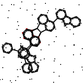 c1ccc(-c2nc(-c3ccccc3)nc(-c3ccc4c5c(cccc35)C35c6cccc7c(-c8cccc9c8sc8ccccc89)ccc(c67)C43c3ccc(-c4cccc6c4sc4ccccc46)c4cccc5c34)n2)cc1